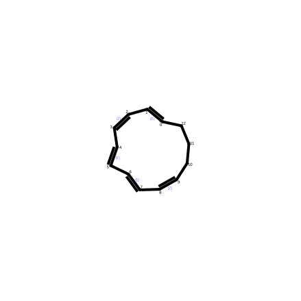 [C]1=C/C=C\C=C\C=C\C=C/CCC/1